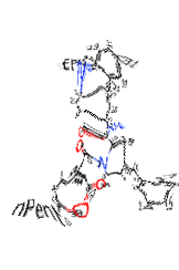 CCCCCc1ccc(C(=O)N2C=CC(=Cc3ccccc3)C=C2C(=O)Nc2ccc3c(c2)c2ccccc2n3CC)c(=O)o1